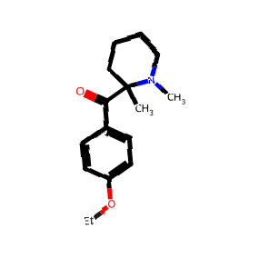 CCOc1ccc(C(=O)C2(C)CCCCN2C)cc1